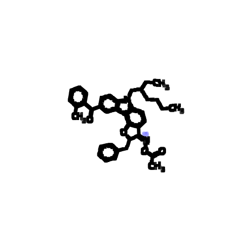 CCCCC(CC)Cn1c2ccc(C(=O)c3ccccc3C)cc2c2c3c(ccc21)/C(=N/OC(C)=O)C(Cc1ccccc1)O3